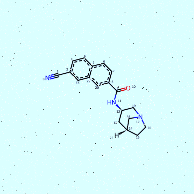 N#Cc1ccc2ccc(C(=O)N[C@@H]3C[C@H]4CCN(C4)C3)cc2c1